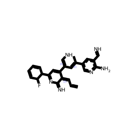 C=C/C=C1\C(=N)N=C(C2C=CC=CC2F)C=C1C(=C/N)/C=C(\C)c1cnc(N)c(C=N)c1